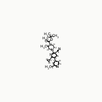 C=Cc1cc(-c2cc(C#N)c(N3CCN(C(=O)OC(C)(C)C)C(C)C3)nc2C2CC2)ccn1